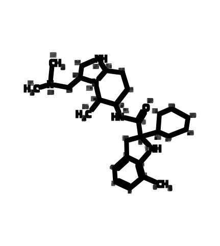 Cc1cccc2c1NC(C(=O)NC1CCC3NCC(CN(C)C)N3C1C)(C1CCCCC1)C2